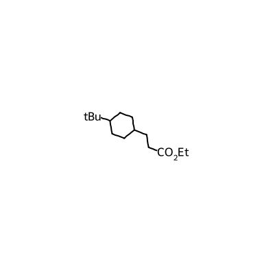 CCOC(=O)CCC1CCC(C(C)(C)C)CC1